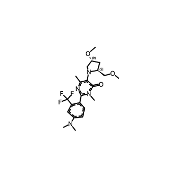 COC[C@@H]1C[C@@H](OC)CN1c1c(C)nc(-c2ccc(N(C)C)cc2C(F)(F)F)n(C)c1=O